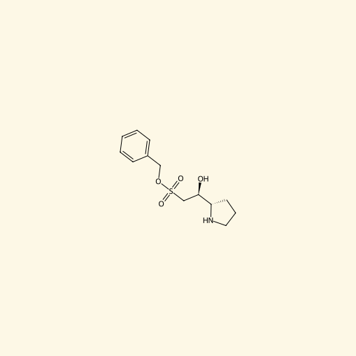 O=S(=O)(C[C@@H](O)[C@@H]1CCCN1)OCc1ccccc1